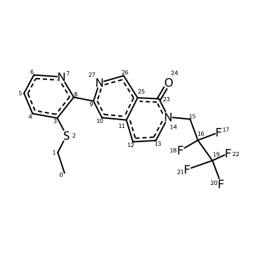 CCSc1cccnc1-c1cc2ccn(CC(F)(F)C(F)(F)F)c(=O)c2cn1